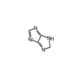 C1=[N+]C2=NCNC2=N1